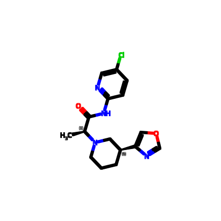 C[C@@H](C(=O)Nc1ccc(Cl)cn1)N1CCC[C@H](c2cocn2)C1